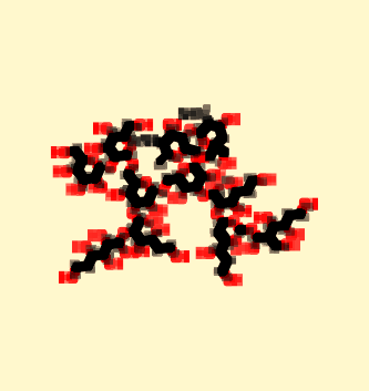 CC(=O)NC1C(O)CC(CO)(CO[C@@H]2OC(CO[C@H]3OC(CO[C@H]4OC(CO)[C@@H](O)C(O)C4O[C@H]4OC(CO)[C@@H](O)C(O)C4O)[C@@H](O)C(O[C@@H](O)C(O[C@@H](O)C(O)C(O)[C@H](O)CCO)C(O)[C@H](O)CCO)C3O)[C@@H](O)C(O[C@@H](O)C(O[C@H](/C=C(\O)[C@H](O)CCO)OCO[C@@H](O)C(CO)C(O)[C@H](O)CCO)C(O)[C@H](O)CCO)C2O)O[C@H]1O[C@@H]1C(CO)O[C@@H](C)C(NC(C)=O)C1O